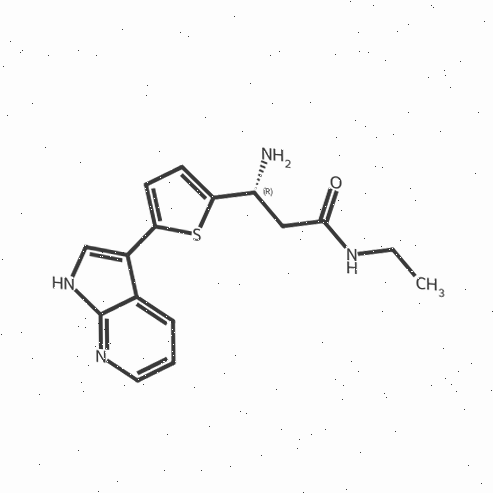 CCNC(=O)C[C@@H](N)c1ccc(-c2c[nH]c3ncccc23)s1